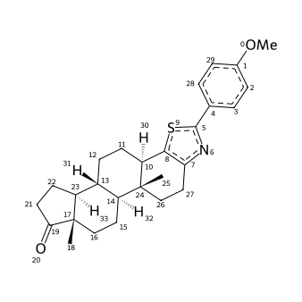 COc1ccc(-c2nc3c(s2)[C@@H]2CC[C@@H]4[C@H](CC[C@]5(C)C(=O)CC[C@@H]45)[C@@]2(C)CC3)cc1